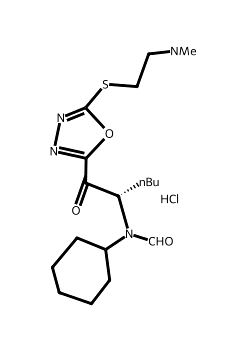 CCCC[C@@H](C(=O)c1nnc(SCCNC)o1)N(C=O)C1CCCCC1.Cl